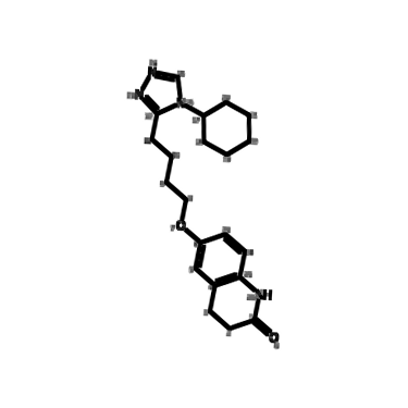 O=C1CCc2cc(OCCCCc3nncn3C3CCCCC3)ccc2N1